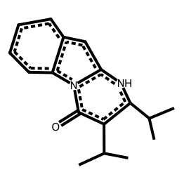 CC(C)c1[nH]c2cc3ccccc3n2c(=O)c1C(C)C